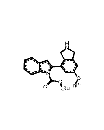 CCCOc1cc2c(c(-c3cc4ccccc4n3C(=O)OC(C)(C)C)c1)CNC2